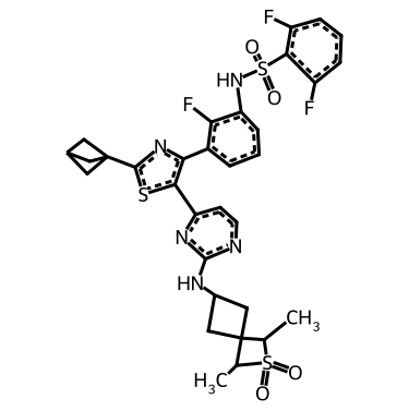 CC1C2(CC(Nc3nccc(-c4sc(C56CC(C5)C6)nc4-c4cccc(NS(=O)(=O)c5c(F)cccc5F)c4F)n3)C2)C(C)S1(=O)=O